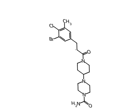 Cc1cc(C[CH]C(=O)N2CCC(N3CCN(C(N)=O)CC3)CC2)cc(Br)c1Cl